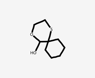 OC1OCCSC12CCCCC2